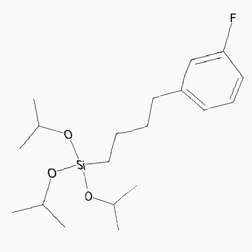 CC(C)O[Si](CCCCc1cccc(F)c1)(OC(C)C)OC(C)C